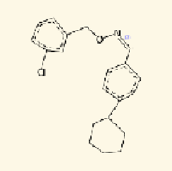 Clc1cccc(CO/N=[C]\c2ccc(C3CCCCC3)cc2)c1